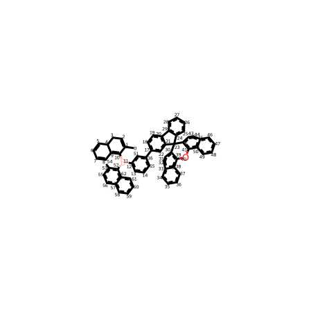 CC1=CCC2C=CC=CC2=C1B(c1cccc(-c2ccc3c(c2)C2(c4ccccc4-3)c3ccc4ccccc4c3Oc3c2ccc2ccccc32)c1)c1c(C)ccc2ccccc12